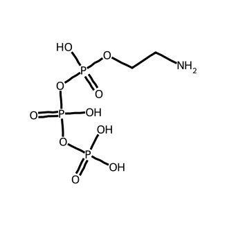 NCCOP(=O)(O)OP(=O)(O)OP(=O)(O)O